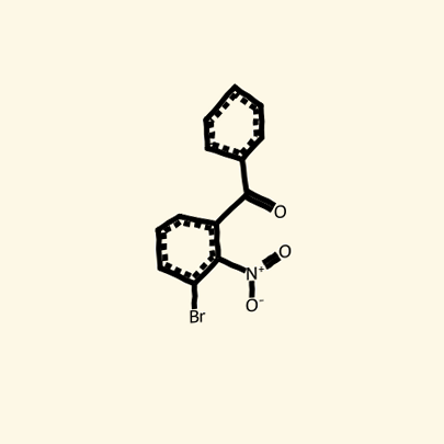 O=C(c1ccccc1)c1cccc(Br)c1[N+](=O)[O-]